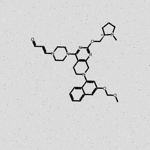 COCOc1cc(N2CCc3c(nc(OC[C@H]4CCCN4C)nc3N3CCN(C=CC=O)CC3)C2)c2ccccc2c1